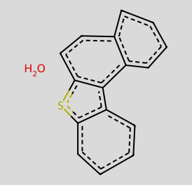 O.c1ccc2c(c1)ccc1sc3ccccc3c12